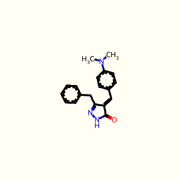 CN(C)c1ccc(/C=C2/C(=O)NN=C2Cc2ccccc2)cc1